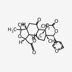 CC1(C)O[C@H]2CC(=O)OC[C@]23[C@H]2CC[C@@]4(C)[C@H](c5ccoc5)OC(=O)O[C@@]4(C)[C@]2(C)C(=O)C[C@@H]13